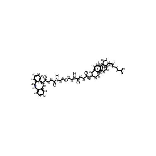 CC(C)CCC[C@@H](C)[C@H]1CC[C@H]2[C@@H]3CC=C4C[C@@H](OC(=O)CCC(=O)NCCOCCNC(=O)CCC(=O)N5Cc6ccccc6/C=C\c6ccccc65)CC[C@]4(C)[C@H]3CC[C@]12C